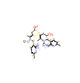 CC(=C(CCO)SSC(CCO)=C(C)N(C=O)Cc1ccc(C)nc1N)N(C=O)Cc1ccc(C)nc1N